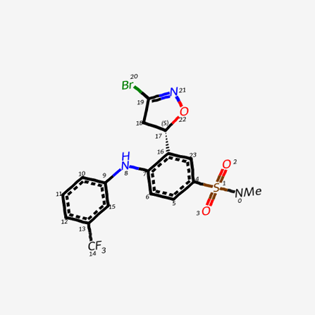 CNS(=O)(=O)c1ccc(Nc2cccc(C(F)(F)F)c2)c([C@@H]2CC(Br)=NO2)c1